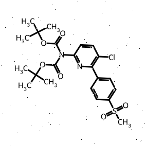 CC(C)(C)OC(=O)N(C(=O)OC(C)(C)C)c1ccc(Cl)c(-c2ccc(S(C)(=O)=O)cc2)n1